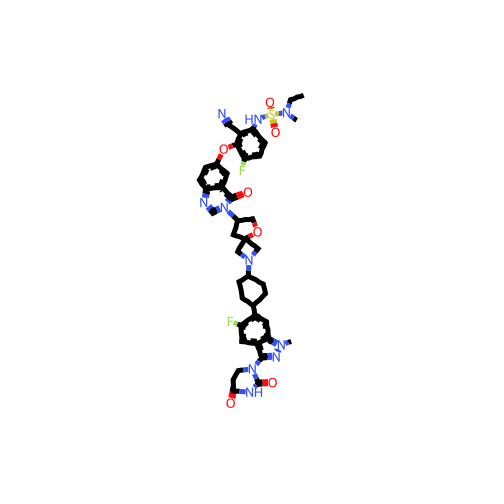 CCN(C)S(=O)(=O)Nc1ccc(F)c(Oc2ccc3ncn(C4COC5(C4)CN(C4CCC(c6cc7c(cc6F)c(N6CCC(=O)NC6=O)nn7C)CC4)C5)c(=O)c3c2)c1C#N